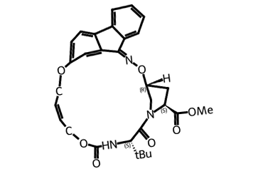 COC(=O)[C@@H]1C[C@@H]2CN1C(=O)[C@H](C(C)(C)C)NC(=O)OCC=CCOc1ccc3c(c1)C(=NO2)c1ccccc1-3